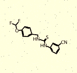 N#Cc1cccc(NC(=S)NCc2ccc(OC(F)F)cc2)c1